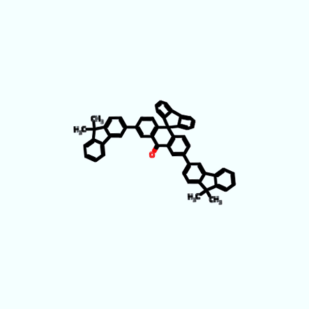 CC1(C)c2ccccc2-c2cc(-c3ccc4c(c3)C(=O)c3cc(-c5ccc6c(c5)-c5ccccc5C6(C)C)ccc3C43c4ccccc4-c4ccccc43)ccc21